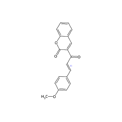 COc1ccc(/C=C/C(=O)c2cc3ccccc3oc2=O)cc1